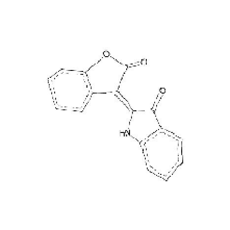 O=C1Oc2ccccc2C1=C1Nc2ccccc2C1=O